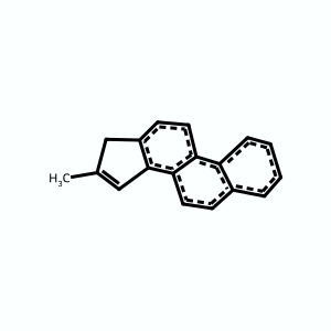 CC1=Cc2c(ccc3c2ccc2ccccc23)C1